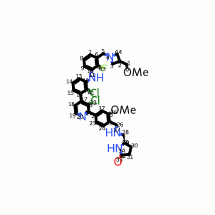 COCC1CN(Cc2cccc(Nc3cccc(-c4ccnc(-c5ccc(CNC[C@H]6CCC(=O)N6)c(OC)c5)c4Cl)c3Cl)c2F)C1